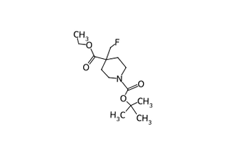 CCOC(=O)C1(CF)CCN(C(=O)OC(C)(C)C)CC1